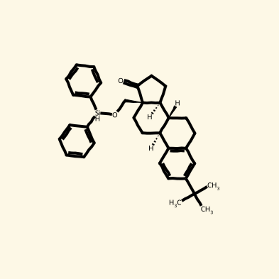 CC(C)(C)c1ccc2c(c1)CC[C@@H]1[C@@H]2CC[C@]2(CO[SiH](c3ccccc3)c3ccccc3)C(=O)CC[C@@H]12